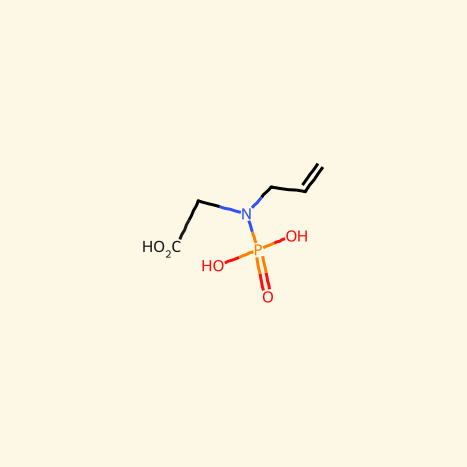 C=CCN(CC(=O)O)P(=O)(O)O